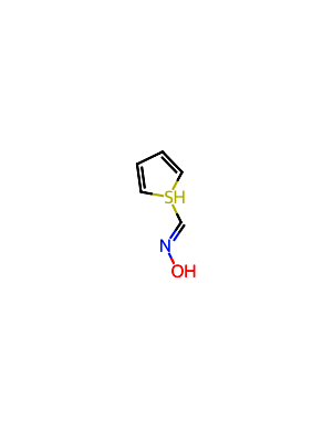 ON=C[SH]1C=CC=C1